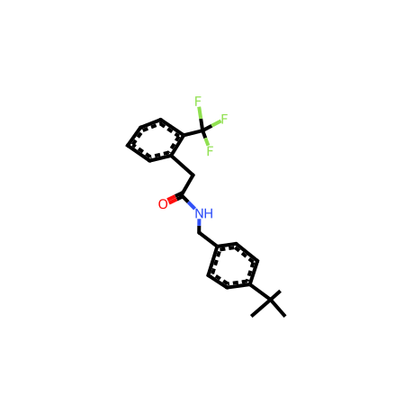 CC(C)(C)c1ccc(CNC(=O)Cc2ccccc2C(F)(F)F)cc1